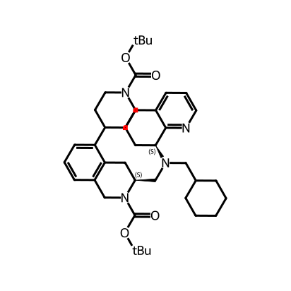 CC(C)(C)OC(=O)N1CCC(c2cccc3c2C[C@@H](CN(CC2CCCCC2)[C@H]2CCCc4cccnc42)N(C(=O)OC(C)(C)C)C3)CC1